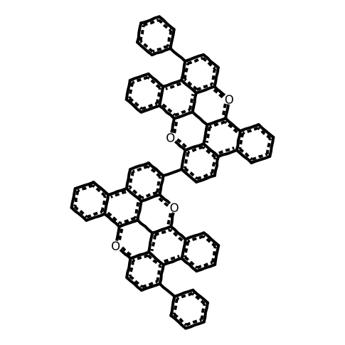 c1ccc(-c2ccc3oc4c5c6c(oc7c-5c3c2c2ccccc72)c(-c2ccc3c5ccccc5c5oc7ccc(-c8ccccc8)c8c9ccccc9c9oc2c3c5-c9c78)ccc6c2ccccc42)cc1